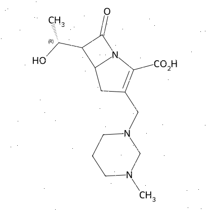 C[C@@H](O)C1C(=O)N2C(C(=O)O)=C(CN3CCCN(C)C3)CC12